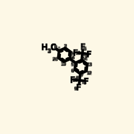 Cc1ccc(-c2cc(C(F)(F)F)ccc2C(F)(F)F)cc1